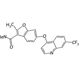 CNC(=O)c1c(C)oc2cc(Oc3ccnc4cc(C(F)(F)F)ccc34)ccc12